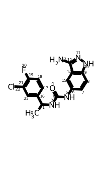 CC(NC(=O)Nc1ccc2[nH]nc(N)c2c1)c1ccc(F)c(Cl)c1